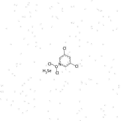 ClOCl.Clc1cncc(Cl)c1.[SeH2]